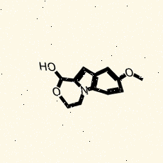 COc1ccc2c(c1)cc1n2CCOC1O